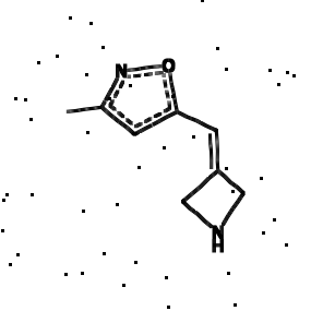 Cc1cc(C=C2CNC2)on1